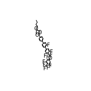 CCCCOC1COC(c2ccc(-c3ccc(-c4cc(F)c(C(F)(F)Oc5cc(F)c(C(F)(F)F)c(F)c5)c(F)c4)c(F)c3)cc2)OC1